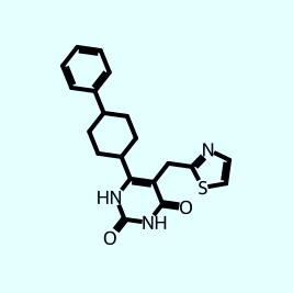 O=c1[nH]c(C2CCC(c3ccccc3)CC2)c(Cc2nccs2)c(=O)[nH]1